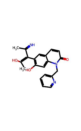 CC(=N)/C(=C(/C)O)c1cc2ccc(=O)n(Cc3ccccn3)c2cc1O